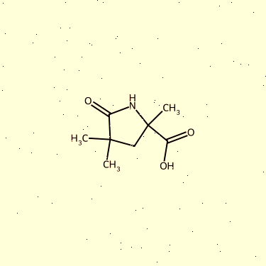 CC1(C)CC(C)(C(=O)O)NC1=O